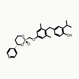 Cc1cc(OC[P@]2(=O)OCC[C@@H](c3ccncc3)O2)cc(C)c1Cc1ccc(O)c(C(C)C)c1